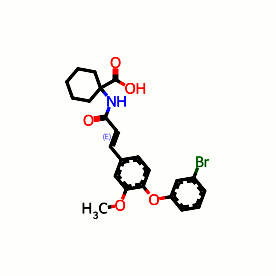 COc1cc(/C=C/C(=O)NC2(C(=O)O)CCCCC2)ccc1Oc1cccc(Br)c1